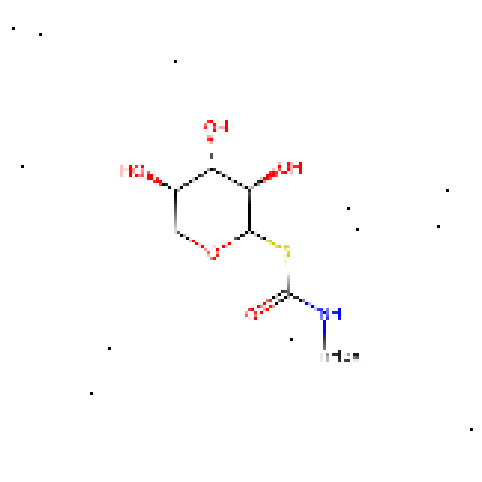 CCCCCCNC(=O)SC1OC[C@@H](O)[C@H](O)[C@H]1O